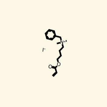 C=CC(=O)OCCCC[N+](C)(C)Cc1ccccc1.[I-]